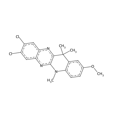 COc1ccc2c(c1)C(C)(C)c1nc3cc(Cl)c(Cl)cc3nc1N2C